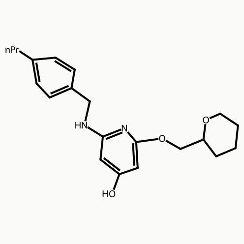 CCCc1ccc(CNc2cc(O)cc(OCC3CCCCO3)n2)cc1